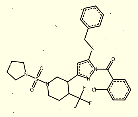 O=C(c1ccccc1Cl)n1nc(C2CN(S(=O)(=O)N3CCCC3)CCC2C(F)(F)F)cc1SCc1ccccc1